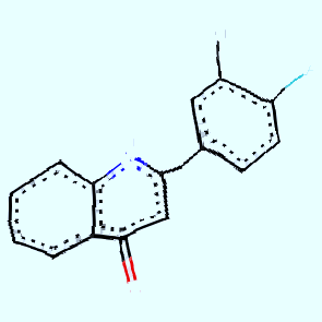 O=c1cc(-c2ccc(F)c(C(F)(F)F)c2)[nH]c2ccccc12